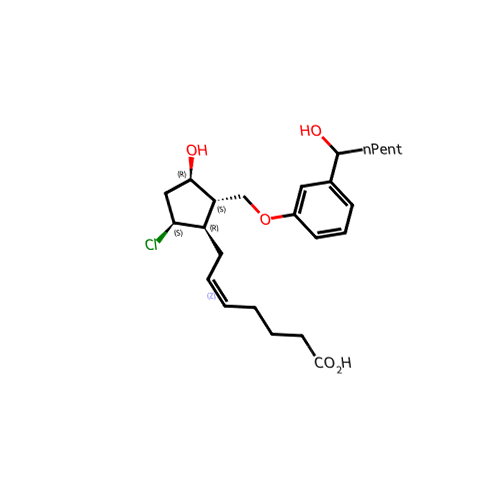 CCCCCC(O)c1cccc(OC[C@@H]2[C@@H](C/C=C\CCCC(=O)O)[C@@H](Cl)C[C@H]2O)c1